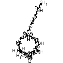 CCCCC(=O)NCCCOCCOCCOCCCNC(=O)[C@@H]1CCCCn2cc(nn2)CC(N)C(=O)NC(C(C)C)C(=O)NC(Cc2c[nH]cn2)C(=O)NC(CC(C)C)C(=O)NC(CO)C(=O)NCC(=O)N1